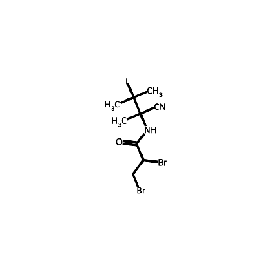 CC(C)(I)C(C)(C#N)NC(=O)C(Br)CBr